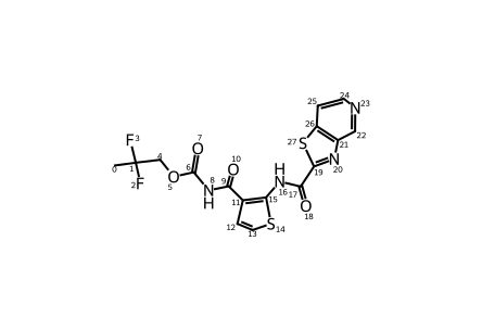 CC(F)(F)COC(=O)NC(=O)c1ccsc1NC(=O)c1nc2cnccc2s1